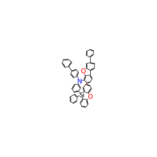 c1ccc(-c2ccc(N(c3cccc([Si]4(c5ccccc5)c5ccccc5Oc5ccccc54)c3)c3cccc4c3oc3cc(-c5ccccc5)ccc34)cc2)cc1